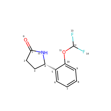 O=C1CC[C@@H](c2ccccc2OC(F)F)N1